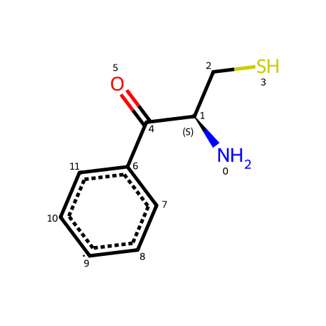 N[C@H](CS)C(=O)c1cc[c]cc1